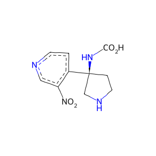 O=C(O)N[C@@]1(c2ccncc2[N+](=O)[O-])CCNC1